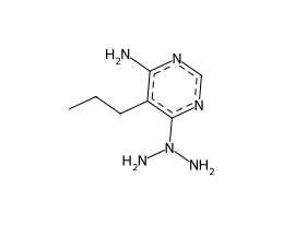 CCCc1c(N)ncnc1N(N)N